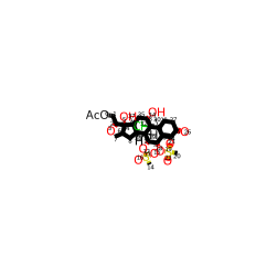 CC(=O)OCC(=O)[C@@]1(O)C(C)C[C@H]2[C@@H]3C(OS(C)(=O)=O)C(OS(C)(=O)=O)C4=CC(=O)CC[C@]4(C)[C@@]3(Cl)C(O)C[C@@]21C